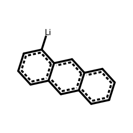 [Li][c]1cccc2cc3ccccc3cc12